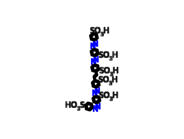 O=S(=O)(O)c1ccc(N=Nc2ccc(N=Nc3ccc(C=Cc4ccc(N=Nc5ccc(/N=N\c6ccc(S(=O)(=O)O)cc6)cc5S(=O)(=O)O)cc4S(=O)(=O)O)c(S(=O)(=O)O)c3)c(S(=O)(=O)O)c2)cc1